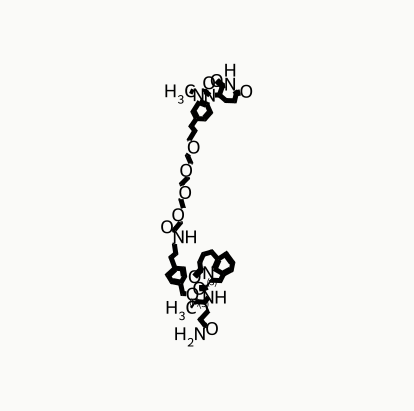 C[C@@H](OCc1ccc(CCCNC(=O)COCCOCCOCCOCCCc2ccc3c(c2)n(C)c(=O)n3C2CCC(=O)NC2=O)cc1)[C@H](CCC(N)=O)NC(=O)[C@@H]1Cc2cccc3c2N1C(=O)CCC3